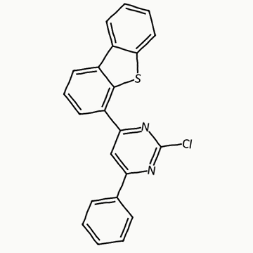 Clc1nc(-c2ccccc2)cc(-c2cccc3c2sc2ccccc23)n1